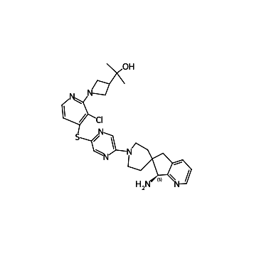 CC(C)(O)C1CN(c2nccc(Sc3cnc(N4CCC5(CC4)Cc4cccnc4[C@H]5N)cn3)c2Cl)C1